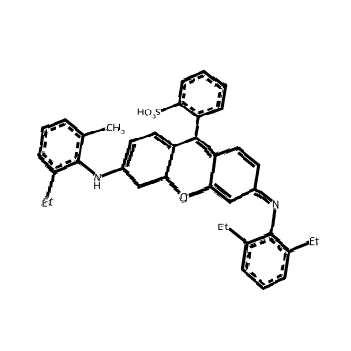 CCc1cccc(CC)c1/N=C1/C=CC2=C(c3ccccc3S(=O)(=O)O)C3=CC=C(Nc4c(C)cccc4CC)CC3OC2=C1